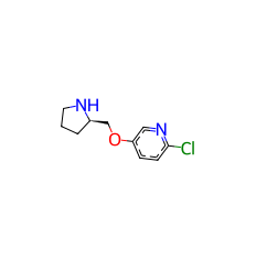 Clc1ccc(OC[C@H]2CCCN2)cn1